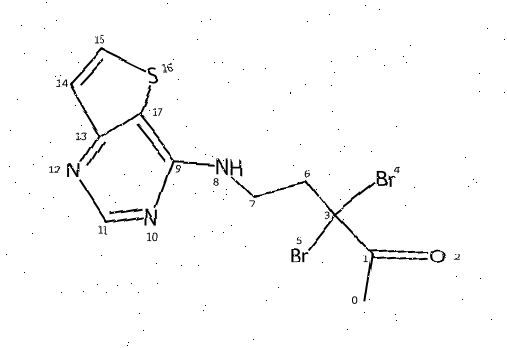 CC(=O)C(Br)(Br)CCNc1ncnc2ccsc12